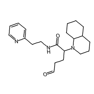 O=CCCC(C(=O)NCCc1ccccn1)N1CCCC2CCCCC21